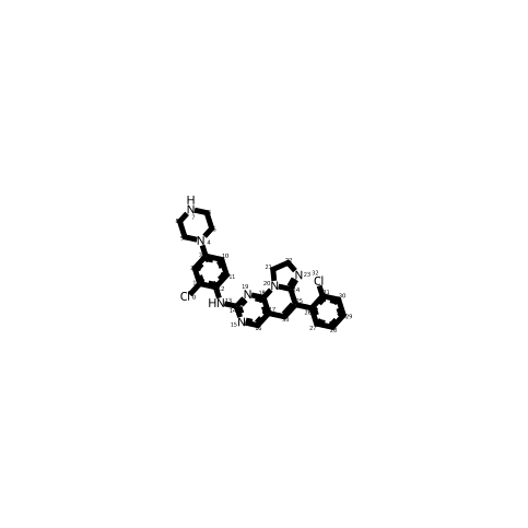 Clc1cc(N2CCNCC2)ccc1Nc1ncc2c(n1)N1CCN=C1C(c1ccccc1Cl)=C2